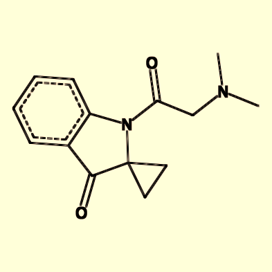 CN(C)CC(=O)N1c2ccccc2C(=O)C12CC2